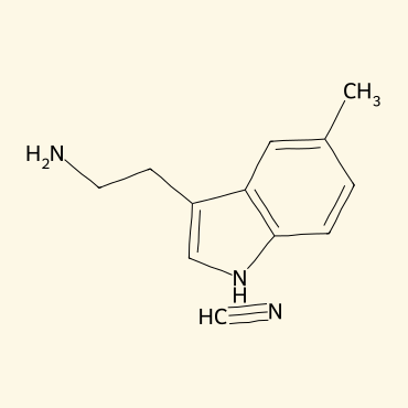 C#N.Cc1ccc2[nH]cc(CCN)c2c1